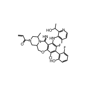 C=CC(=O)N1CC(C)N2C(=N)c3c(Nc4c(C)ccnc4C(C)O)c(F)c(-c4c(O)cccc4F)c(Cl)c3OCC2C1